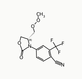 COOC[C@H]1COC(=O)N1c1ccc(C#N)c(C(F)(F)F)c1